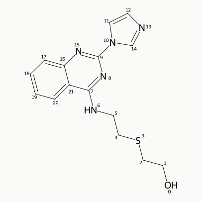 OCCSCCNc1nc(-n2ccnc2)nc2ccccc12